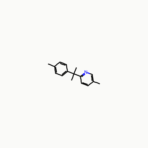 Cc1ccc(C(C)(C)c2ccc(C)cn2)cc1